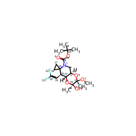 CO[C@@]1(C)O[C@@H]2CN(C(=O)OC(C)(C)C)C3(CC3)[C@H](C=C(F)F)[C@H]2O[C@]1(C)O